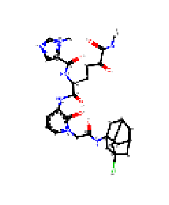 CCNC(=O)C(=O)CC[C@H](NC(=O)c1cncn1C)C(=O)Nc1cccn(CC(=O)NC23CC4CC(CC(Cl)(C4)C2)C3)c1=O